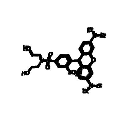 CCN(CC)c1ccc2c(c1)Oc1cc(N(CC)CC)ccc1C2c1ccc(S(=O)(=O)N(CCO)CCO)cc1S(=O)(=O)O